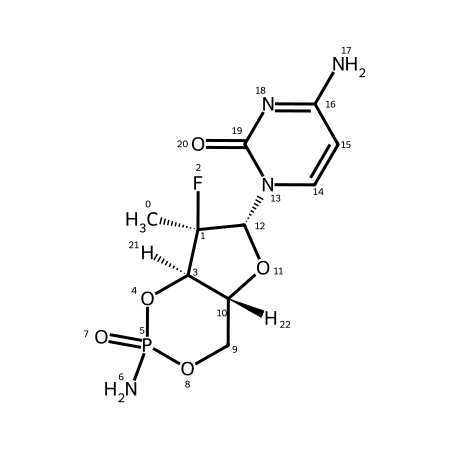 C[C@@]1(F)[C@@H]2OP(N)(=O)OC[C@H]2O[C@H]1n1ccc(N)nc1=O